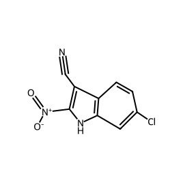 N#Cc1c([N+](=O)[O-])[nH]c2cc(Cl)ccc12